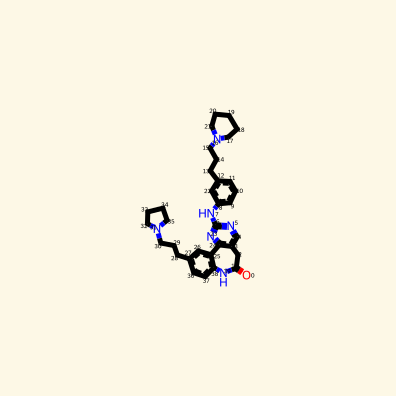 O=C1Cc2cnc(Nc3cccc(CCCN4CCCCC4)c3)nc2-c2cc(CCCN3CCCC3)ccc2N1